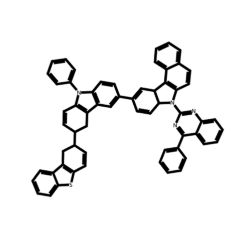 C1=CC2C(C=C1c1ccc3c(c1)c1c(n3-c3ccccc3)C=CC(C3C=Cc4sc5ccccc5c4C3)C1)c1c(ccc3ccccc13)N2c1nc(-c2ccccc2)c2ccccc2n1